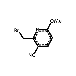 COc1ccc(C#N)c(CBr)n1